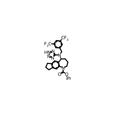 CC(C)OC(=O)N1CCC[C@H](N(Cc2cc(C(F)(F)F)cc(C(F)(F)F)c2)c2nn[nH]n2)c2cc3c(cc21)CCC3